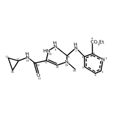 CCOC(=O)c1ncccc1NC1NNC(C(=O)NC2CC2)=CN1C